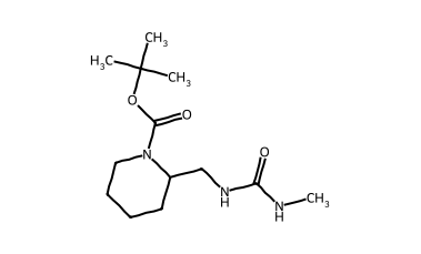 CNC(=O)NCC1CCCCN1C(=O)OC(C)(C)C